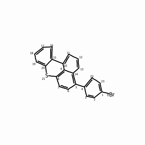 Brc1ccc(-c2ccc3c4c(cccc24)-c2ccccc2S3)cc1